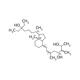 C=C(C(C)O)[C@H](O)C/C(C)=C\C=C1/CCC[C@@]2(C)C1CCC2[C@@H](C)CCCC(O)(CC)CC